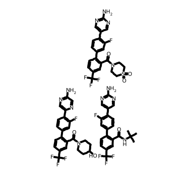 CC(C)(C)NC(=O)c1cc(C(F)(F)F)ccc1-c1ccc(-c2cnc(N)nc2)c(F)c1.Nc1cnc(-c2ccc(-c3ccc(C(F)(F)F)cc3C(=O)N3CCC(O)CC3)cc2F)cn1.Nc1ncc(-c2ccc(-c3ccc(C(F)(F)F)cc3C(=O)N3CCS(=O)(=O)CC3)cc2F)cn1